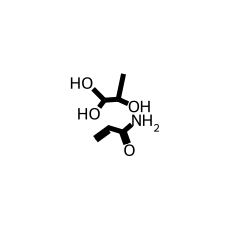 C=CC(N)=O.CC(O)C(O)O